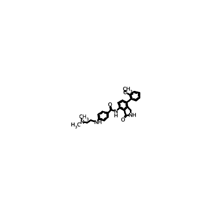 COc1ccccc1-c1ccc(NC(=O)c2ccc(NCCN(C)C)cc2)c2c1CNC2=O